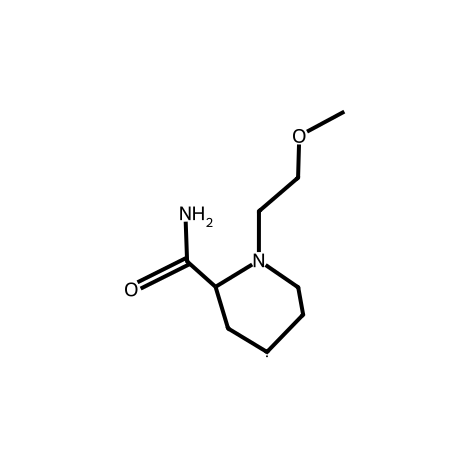 COCCN1CC[CH]CC1C(N)=O